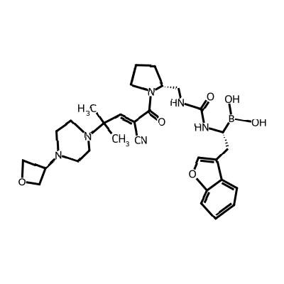 CC(C)(C=C(C#N)C(=O)N1CCC[C@@H]1CNC(=O)N[C@@H](Cc1coc2ccccc12)B(O)O)N1CCN(C2COC2)CC1